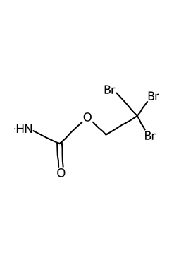 [NH]C(=O)OCC(Br)(Br)Br